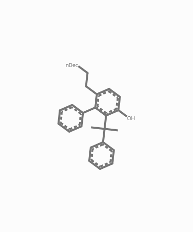 CCCCCCCCCCCCc1ccc(O)c(C(C)(C)c2ccccc2)c1-c1ccccc1